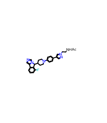 CC(=O)NCCn1cc(-c2ccc(N3CCC(C4c5c(F)cccc5-c5cncn54)CC3)cc2)cn1